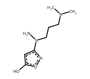 CN(C)CCCN(N)c1cc(O)on1